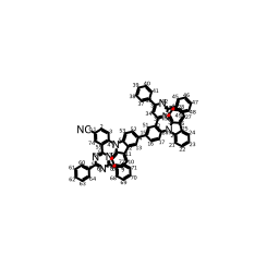 N#Cc1ccc(-n2c3ccccc3c3cc(-c4ccc(-n5c6ccccc6c6ccccc65)c(-c5cc(-c6ccccc6)nc(-c6ccccc6)n5)c4)ccc32)c(-c2nc(-c3ccccc3)nc(-c3ccccc3)n2)c1